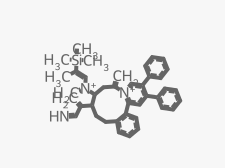 C=C(C=N)C1CCc2ccccc2-c2cc(-c3ccccc3)c(-c3ccccc3)c[n+]2C(=C)CC1[N+](=C)/C=C(\C)[Si](C)(C)C